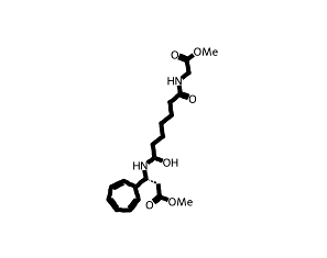 COC(=O)CNC(=O)CCCCCC(O)N[C@H](CC(=O)OC)C1C=CC=CC=C1